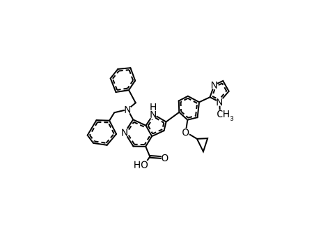 Cn1ccnc1-c1ccc(-c2cc3c(C(=O)O)cnc(N(Cc4ccccc4)Cc4ccccc4)c3[nH]2)c(OC2CC2)c1